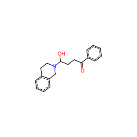 O=C(CCC(O)N1CCc2ccccc2C1)c1ccccc1